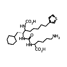 NCCCC[C@H](NC(=O)N[C@H](CC1CCCCC1)C(CCCCCc1ccsc1)NC(=O)O)C(=O)O